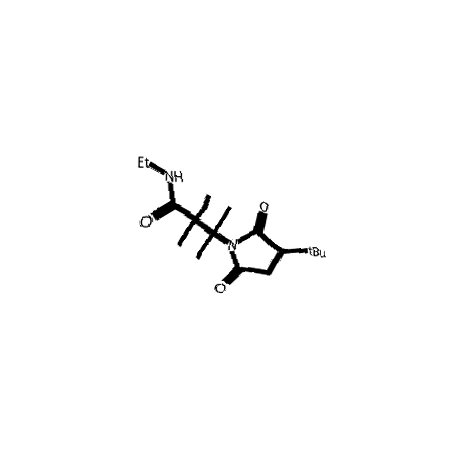 CCNC(=O)C(C)(C)C(C)(C)N1C(=O)CC(C(C)(C)C)C1=O